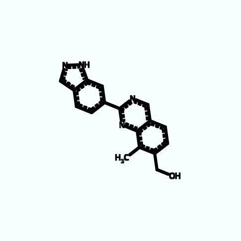 Cc1c(CO)ccc2cnc(-c3ccc4cn[nH]c4c3)nc12